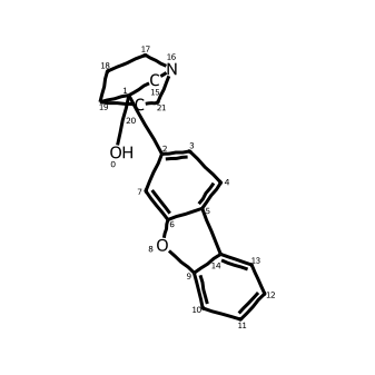 OC1(c2ccc3c(c2)oc2ccccc23)CN2CCC1CC2